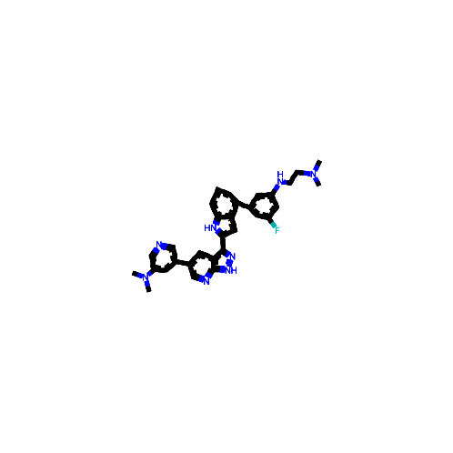 CN(C)CCNc1cc(F)cc(-c2cccc3[nH]c(-c4n[nH]c5ncc(-c6cncc(N(C)C)c6)cc45)cc23)c1